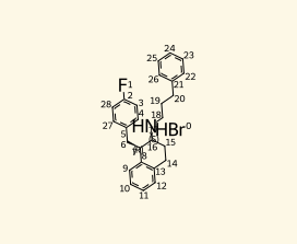 Br.Fc1ccc(C[C@@H]2c3ccccc3CC[C@@H]2NCCCc2ccccc2)cc1